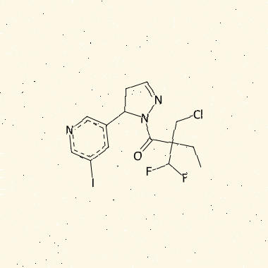 CCC(CCl)(C(=O)N1N=CCC1c1cncc(I)c1)C(F)F